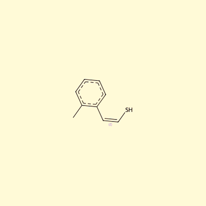 Cc1ccccc1/C=C\S